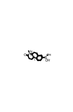 CN1C(=O)CC[C@]2(C)c3ccc(B(O)O)cc3CC[C@@H]12